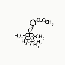 C=CCC(CC=C)(OC[C@H]1CCC[C@@H](OCOC)C1)C(=O)OC(C)(C)C